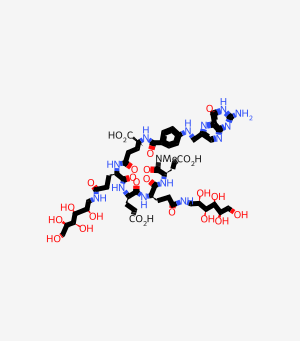 CNC(=O)[C@H](CCC(=O)O)NC(=O)[C@H](CCC(=O)NC[C@H](O)[C@@H](O)[C@H](O)[C@H](O)CO)NC(=O)[C@H](CCC(=O)O)NC(=O)[C@H](CCC(=O)NC[C@H](O)[C@@H](O)[C@H](O)[C@H](O)CO)NC(=O)CC[C@H](NC(=O)c1ccc(NCc2cnc3nc(N)[nH]c(=O)c3n2)cc1)C(=O)O